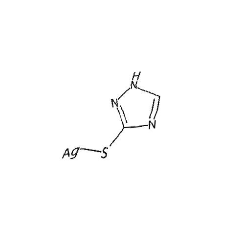 [Ag][S]c1nc[nH]n1